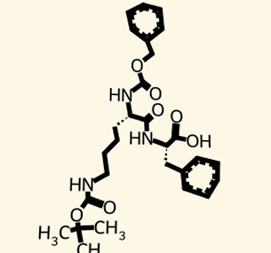 CC(C)(C)OC(=O)NCCCC[C@H](NC(=O)OCc1ccccc1)C(=O)N[C@@H](Cc1ccccc1)C(=O)O